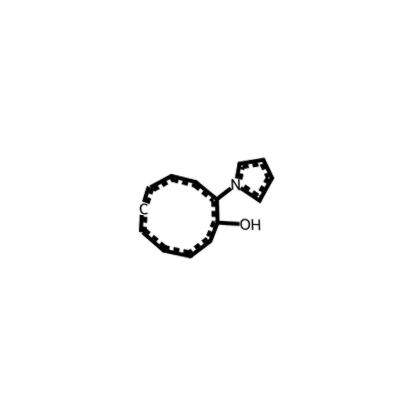 Oc1ccccccccc1-n1cccc1